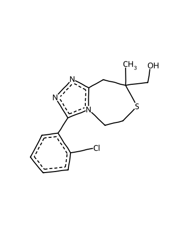 CC1(CO)Cc2nnc(-c3ccccc3Cl)n2CCS1